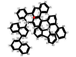 c1ccc(-c2cccc(-c3ccc(N(c4ccccc4-c4ccc5ccccc5c4)c4ccc(-c5cccc6ccccc56)c5ccccc45)cc3)c2-n2c3ccccc3c3ccccc32)cc1